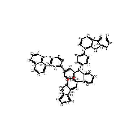 c1cc(-c2cccc(N(c3ccc(-c4cccc5c4oc4ccccc45)cc3)c3ccccc3-c3ccc4oc5ccccc5c4c3)c2)cc(-c2cccc3ccccc23)c1